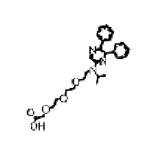 CC(C)N(CCOCCOCCOCC(=O)O)c1cnc(-c2ccccc2)c(-c2ccccc2)n1